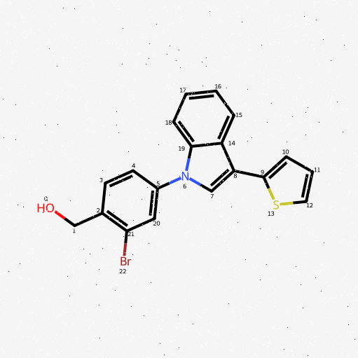 OCc1ccc(-n2cc(-c3cccs3)c3ccccc32)cc1Br